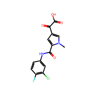 Cn1cc(C(=O)C(=O)O)cc1C(=O)Nc1ccc(F)c(Cl)c1